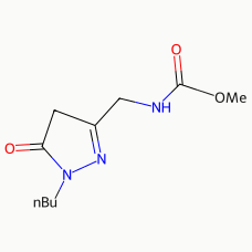 CCCCN1N=C(CNC(=O)OC)CC1=O